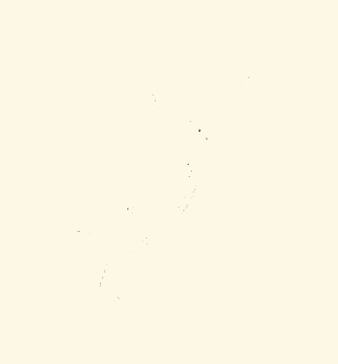 c1ccc(N(c2ccc(N(c3ccccc3)c3cccc4c3Cc3ccccc3-4)cc2)c2cccc3c2Cc2ccccc2-3)cc1